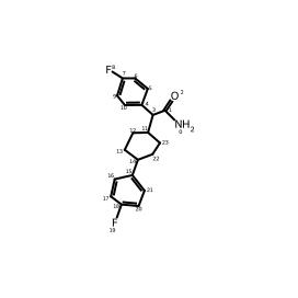 NC(=O)C(c1ccc(F)cc1)C1CCC(c2ccc(F)cc2)CC1